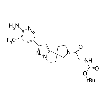 CC(C)(C)OC(=O)NCC(=O)N1CCC2(CCn3nc(-c4cnc(N)c(C(F)(F)F)c4)cc32)C1